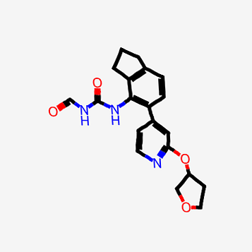 O=CNC(=O)Nc1c(-c2ccnc(OC3CCOC3)c2)ccc2c1CCC2